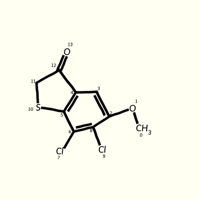 COc1cc2c(c(Cl)c1Cl)SCC2=O